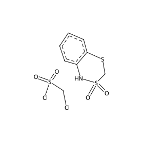 O=S(=O)(Cl)CCl.O=S1(=O)CSc2ccccc2N1